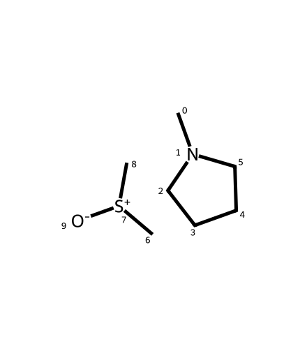 CN1CCCC1.C[S+](C)[O-]